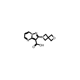 O=C(O)c1c(N2CC3(COC3)C2)nn2cccnc12